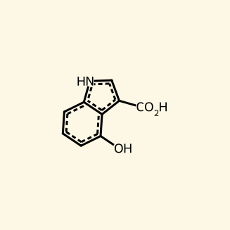 O=C(O)c1c[nH]c2cccc(O)c12